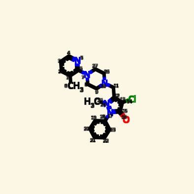 Cc1cccnc1N1CCN(Cc2c(Cl)c(=O)n(-c3ccccc3)n2C)CC1